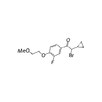 COCCOc1ccc(C(=O)C(Br)C2CC2)cc1F